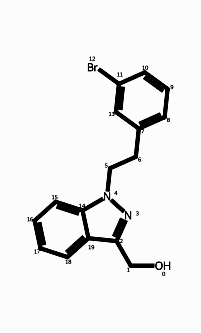 OCc1nn(CCc2cccc(Br)c2)c2ccccc12